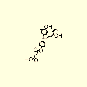 C\C=C/C(O)=C\C=C\C(C)(c1ccc(OC(=O)CCC(=O)O)cc1)c1ccc(O)c(C)c1